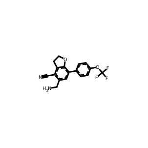 N#Cc1c(CN)cc(-c2ccc(OC(F)(F)F)cc2)c2c1CCO2